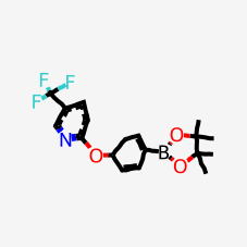 CC1(C)OB(C2=CCC(Oc3ccc(C(F)(F)F)cn3)C=C2)OC1(C)C